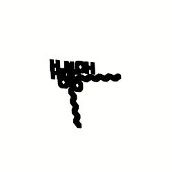 CCCCCCCCCC(=O)C(O)(C(=O)CCCCCCCCC)[C@@H](N)CO